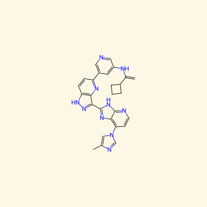 C=C(Nc1cncc(-c2ccc3[nH]nc(-c4nc5c(-n6cnc(C)c6)ccnc5[nH]4)c3n2)c1)C1CCC1